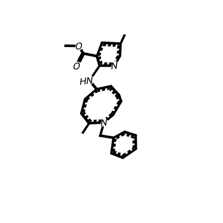 COC(=O)c1cc(C)cnc1Nc1ccccn(Cc2ccccc2)c(C)cc1